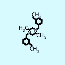 C=Cc1cccc(CN2CC(C)N(Cc3cccc(C=C)c3)CC2C)c1